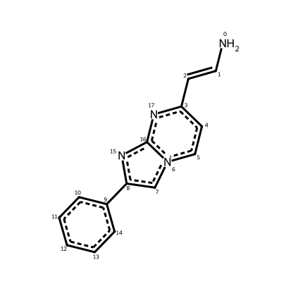 NC=Cc1ccn2cc(-c3ccccc3)nc2n1